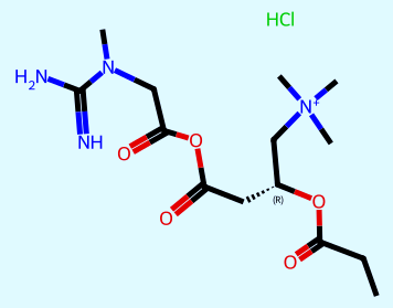 CCC(=O)O[C@H](CC(=O)OC(=O)CN(C)C(=N)N)C[N+](C)(C)C.Cl